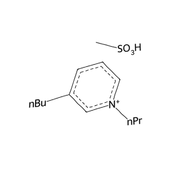 CCCCc1ccc[n+](CCC)c1.CS(=O)(=O)O